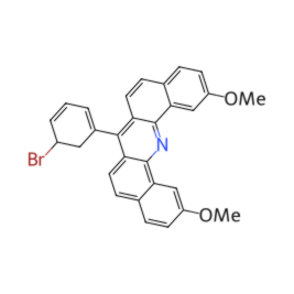 COc1ccc2ccc3c(C4=CC=CC(Br)C4)c4ccc5ccc(OC)cc5c4nc3c2c1